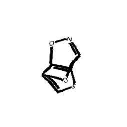 c1sc2c3noc2c1o3